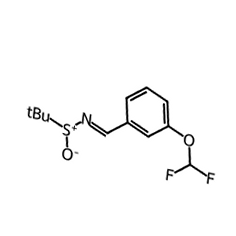 CC(C)(C)[S+]([O-])/N=C/c1cccc(OC(F)F)c1